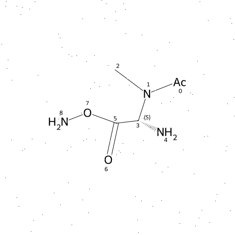 CC(=O)N(C)[C@H](N)C(=O)ON